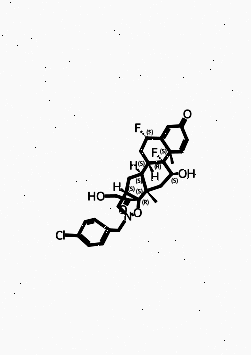 C[C@]12C=CC(=O)C=C1[C@@H](F)C[C@H]1[C@@H]3C[C@H]4CN(Cc5ccc(Cl)cc5)O[C@@]4(C(=O)CO)[C@@]3(C)C[C@H](O)[C@@]12F